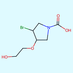 O=C(O)N1CC(Br)C(OCCO)C1